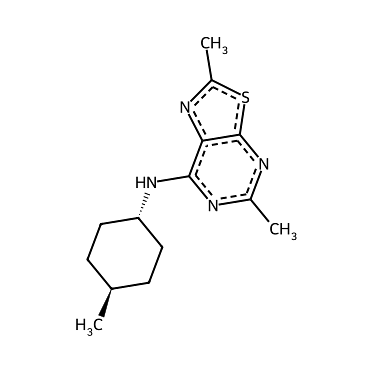 Cc1nc(N[C@H]2CC[C@H](C)CC2)c2nc(C)sc2n1